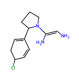 N/C=C(\N)N1CCCC1C1=CCC(Cl)C=C1